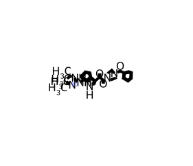 CC(C)/N=C(/Nc1cccc2c(C(=O)C(=O)N3CCN(C(=O)c4ccccc4)CC3)c[nH]c12)NC(C)C